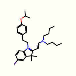 CCCCN(/C=C/C1=[N+](CCc2ccc(OC(C)C)cc2)c2ccc(I)cc2C1(C)C)CCCC